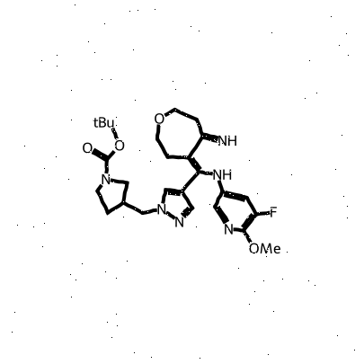 COc1ncc(N/C(=C2/CCOCCC2=N)c2cnn(CC3CCN(C(=O)OC(C)(C)C)C3)c2)cc1F